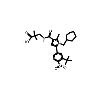 Cc1c(C(=O)NCC(C)(C)C(=O)O)cc(-c2ccc([SH](=O)=O)c(C(C)(C)C)c2)n1CC1CCCCC1